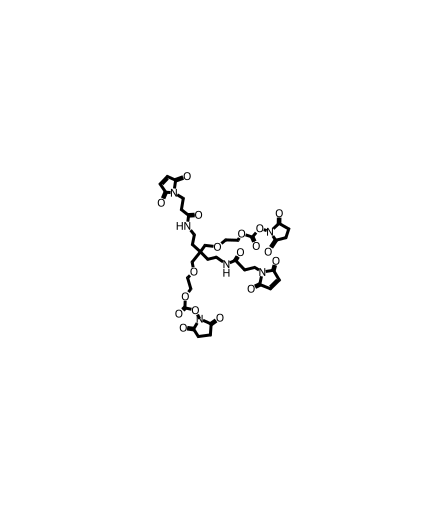 O=C(CCN1C(=O)C=CC1=O)NCCC(CCNC(=O)CCN1C(=O)C=CC1=O)(COCCOC(=O)ON1C(=O)CCC1=O)COCCOC(=O)ON1C(=O)CCC1=O